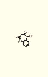 CC(C)N1C(=O)CC(=O)N(C)c2ccccc21